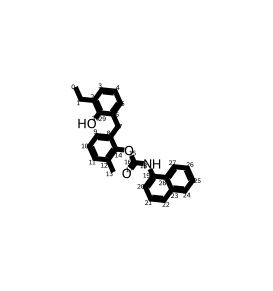 CCc1cccc(Cc2cccc(C)c2OC(=O)Nc2cccc3ccccc23)c1O